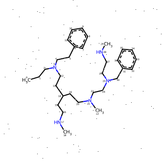 CCCN(CCc1ccccc1)CCC(CCNC)CCN(C)CCN(CCNC)Cc1ccccc1